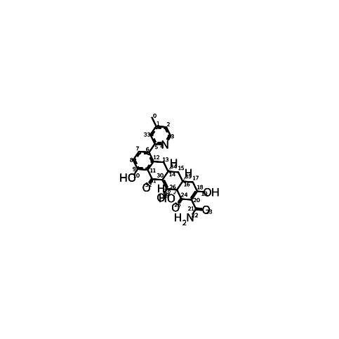 Cc1ccnc(-c2ccc(O)c3c2C[C@H]2C[C@H]4CC(O)=C(C(N)=O)C(=O)[C@@]4(O)C(O)=C2C3=O)c1